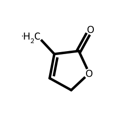 [CH2]C1=CCOC1=O